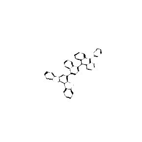 c1ccc(-c2c3ccccc3c(-c3ccc(-c4cc5c6ccccc6sc5c5c4sc4ccccc45)c4ccccc34)c3ccccc23)cc1